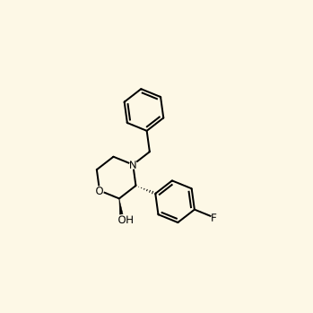 O[C@H]1OCCN(Cc2ccccc2)[C@@H]1c1ccc(F)cc1